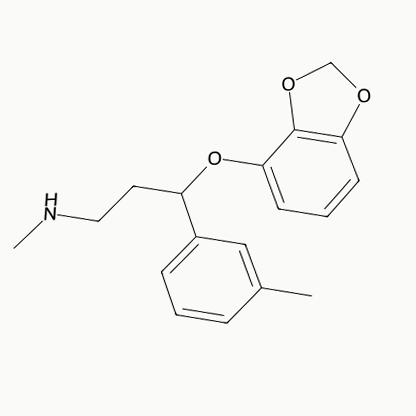 CNCCC(Oc1cccc2c1OCO2)c1cccc(C)c1